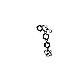 CC(C)(C)OC(=O)c1ccc(N2CCC(N3C(=O)OCc4ccccc43)CC2)cc1